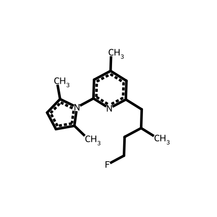 Cc1cc(CC(C)CCF)nc(-n2c(C)ccc2C)c1